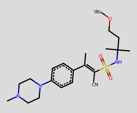 C/C(=C(/C#N)S(=O)(=O)NC(C)(C)CCOC(C)(C)C)c1ccc(N2CCN(C)CC2)cc1